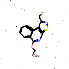 COCOc1nc2snc(CBr)c2c2ccccc12